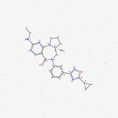 CCNc1ncc2c(n1)N1CCC[C@H]1CN(c1cccc(-c3noc(C4CC4)n3)c1)C2=O